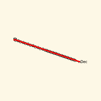 CCCCCCCCCCCCCCCCCCOCCOCCOCCOCCOCCOCCOCCOCCOCCOCCOCCOCCOCCOCCOCCOCCOCCOCCOCCOCCOCCCCOCCCCOCCCCOCCCCOCCCCOCCCCOCCCCOCCCCOCCCCOCCCCOCCCCOCCCCOC(=O)C(C)(C)CC